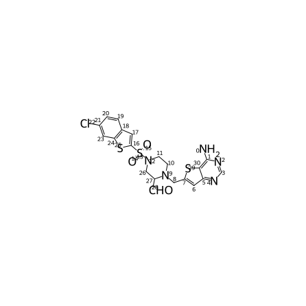 Nc1ncnc2cc(CN3CCN(S(=O)(=O)c4cc5ccc(Cl)cc5s4)CC3C=O)sc12